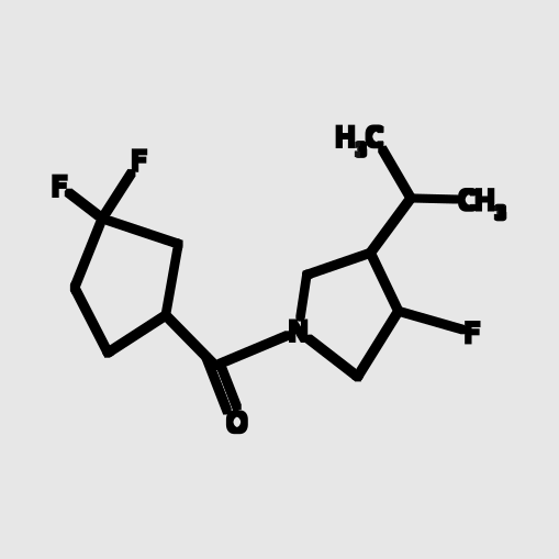 CC(C)C1CN(C(=O)C2CCC(F)(F)C2)CC1F